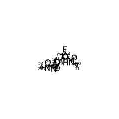 Cc1c(F)cc(C(=O)NC2CC2)cc1-c1ccc2c(C(=O)NC3CC3)noc2c1